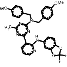 COc1ccc(CN(Cc2ccc(OC)cc2)c2nc(C)nc(-c3cccnc3Nc3ccc4c(c3)OC(F)(F)O4)n2)cc1